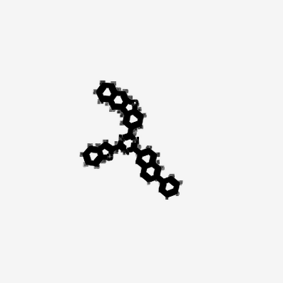 c1ccc(-c2ccc3cc(-c4nc(-c5ccc6oc7cc8ccccc8cc7c6c5)nc(-c5cc6ccccc6o5)n4)ccc3c2)cc1